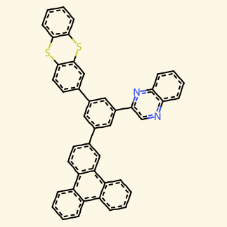 c1ccc2c(c1)Sc1ccc(-c3cc(-c4ccc5c6ccccc6c6ccccc6c5c4)cc(-c4cnc5ccccc5n4)c3)cc1S2